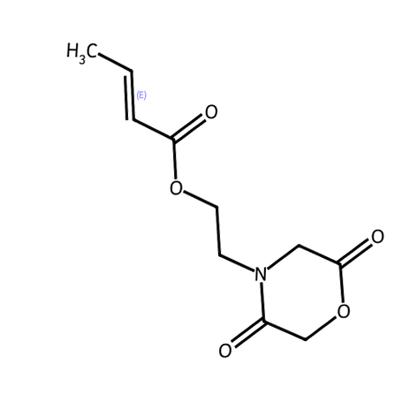 C/C=C/C(=O)OCCN1CC(=O)OCC1=O